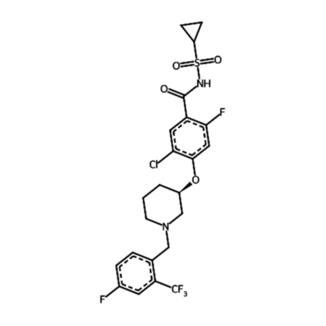 O=C(NS(=O)(=O)C1CC1)c1cc(Cl)c(O[C@@H]2CCCN(Cc3ccc(F)cc3C(F)(F)F)C2)cc1F